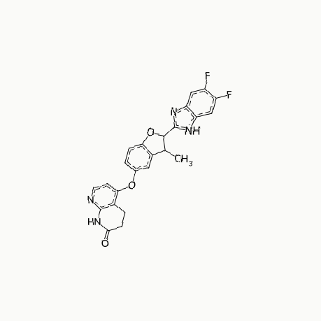 CC1c2cc(Oc3ccnc4c3CCC(=O)N4)ccc2OC1c1nc2cc(F)c(F)cc2[nH]1